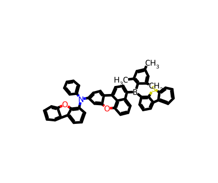 Cc1cc(C)c(B(c2ccc3c4c(cccc24)Oc2cc(N(c4ccccc4)c4cccc5c4oc4ccccc45)ccc2-3)c2cccc3c2sc2ccccc23)c(C)c1